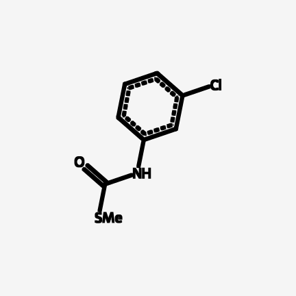 CSC(=O)Nc1cccc(Cl)c1